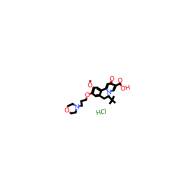 COc1cc2c(cc1OCCCN1CCOCC1)CC(C(C)(C)C)n1cc(C(=O)O)c(=O)cc1-2.Cl